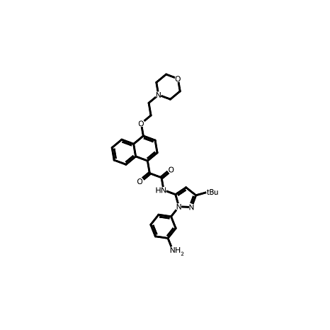 CC(C)(C)c1cc(NC(=O)C(=O)c2ccc(OCCN3CCOCC3)c3ccccc23)n(-c2cccc(N)c2)n1